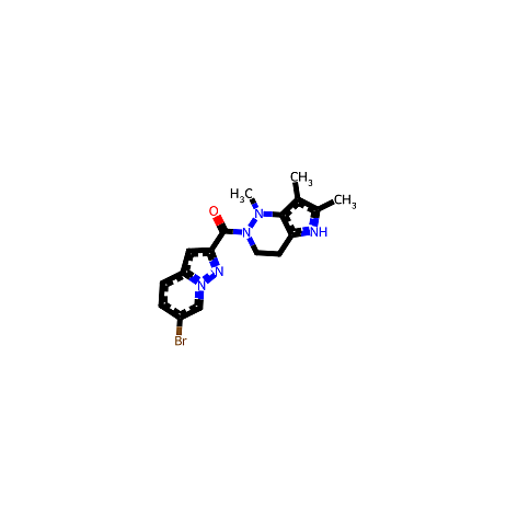 Cc1[nH]c2c(c1C)N(C)N(C(=O)c1cc3ccc(Br)cn3n1)CC2